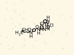 CN(C)CC=CC(=O)Nc1ccc(C(=O)N[C@H]2CC(Nc3ncc(Cl)c(-c4c[nH]c5ccccc45)n3)CN(C)C2)cc1